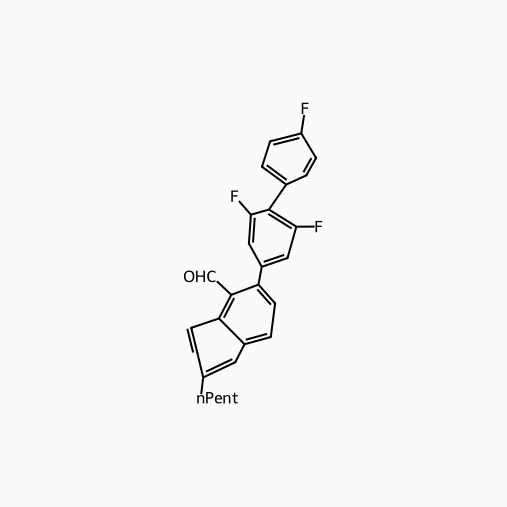 CCCCCc1ccc2c(C=O)c(-c3cc(F)c(-c4ccc(F)cc4)c(F)c3)ccc2c1